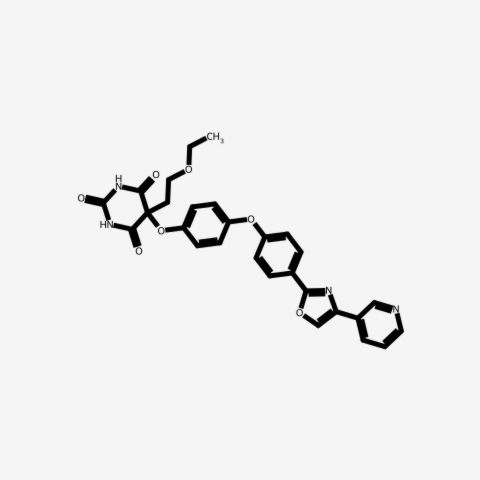 CCOCCC1(Oc2ccc(Oc3ccc(-c4nc(-c5cccnc5)co4)cc3)cc2)C(=O)NC(=O)NC1=O